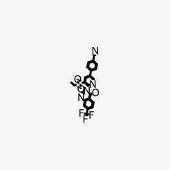 CCS(=O)(=O)c1cc(-c2ccc(C#N)cc2)cnc1-n1cnc2cc(C(F)(F)F)ccc2c1=O